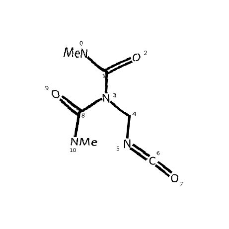 CNC(=O)N(CN=C=O)C(=O)NC